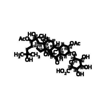 CC(=O)OC(CCC(C)(C)O)[C@](C)(O)[C@H]1CC[C@@]2(OC(C)=O)C3=CC(=O)[C@@H]4C[C@@H](O[C@@H]5O[C@H](C(=O)O)[C@@H](O)[C@H](O)[C@H]5O)[C@@H](OC(C)=O)C[C@]4(C)[C@H]3CC[C@]12C